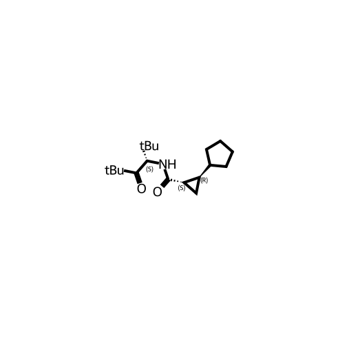 CC(C)(C)C(=O)[C@@H](NC(=O)[C@H]1C[C@@H]1C1CCCC1)C(C)(C)C